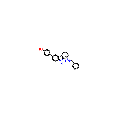 Oc1ccc(-c2ccc3[nH]c4c(c3c2)CCC[C@H]4NCc2ccccc2)cc1